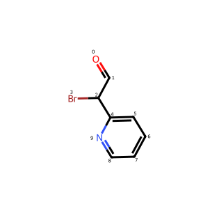 O=CC(Br)c1ccccn1